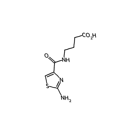 Nc1nc(C(=O)NCCCC(=O)O)cs1